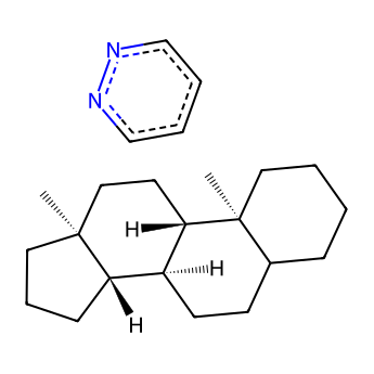 C[C@@]12CCC[C@H]1[C@@H]1CCC3CCCC[C@]3(C)[C@H]1CC2.c1ccnnc1